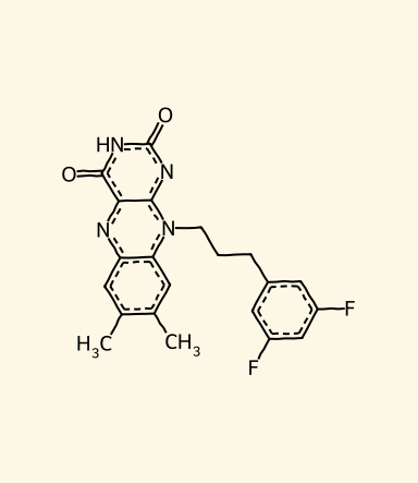 Cc1cc2nc3c(=O)[nH]c(=O)nc-3n(CCCc3cc(F)cc(F)c3)c2cc1C